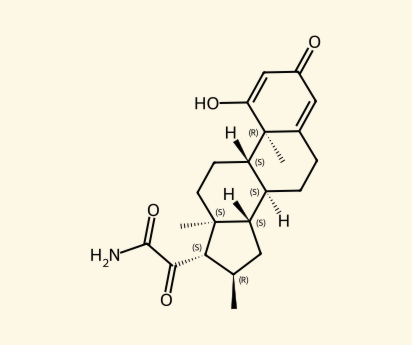 C[C@@H]1C[C@H]2[C@@H]3CCC4=CC(=O)C=C(O)[C@]4(C)[C@H]3CC[C@]2(C)[C@H]1C(=O)C(N)=O